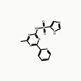 Cc1nc(NS(=O)(=O)c2cnc[nH]2)nc(-c2ccccn2)n1